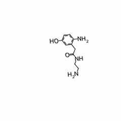 NCCNC(=O)Cc1cc(O)ccc1N